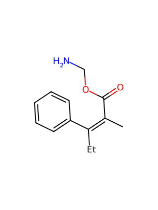 CCC(=C(C)C(=O)OCN)c1ccccc1